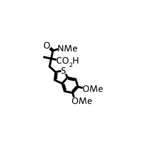 CNC(=O)C(C)(Cc1cc2cc(OC)c(OC)cc2s1)C(=O)O